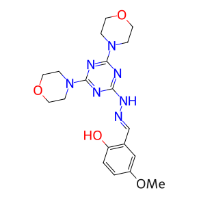 COc1ccc(O)c(/C=N/Nc2nc(N3CCOCC3)nc(N3CCOCC3)n2)c1